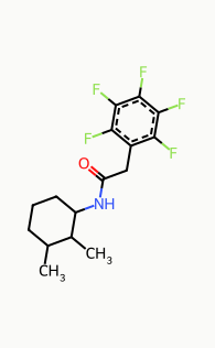 CC1CCCC(NC(=O)Cc2c(F)c(F)c(F)c(F)c2F)C1C